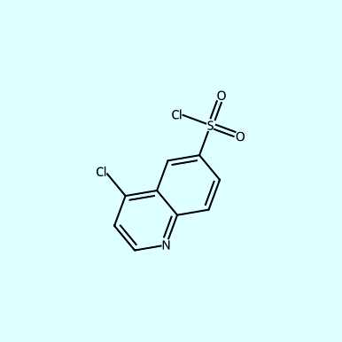 O=S(=O)(Cl)c1ccc2nccc(Cl)c2c1